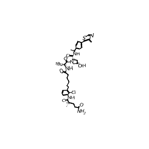 Cc1ncsc1-c1ccc([C@H](C)NC(=O)[C@@H]2C[C@@H](O)CN2C(=O)[C@@H](NC(=O)CCCCCc2cccc(NC(=O)[C@@H](C)CCC(N)=O)c2Cl)C(C)(C)C)cc1